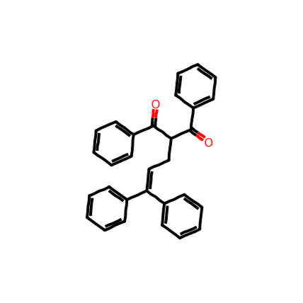 O=C(c1ccccc1)C(CC=C(c1ccccc1)c1ccccc1)C(=O)c1ccccc1